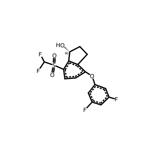 O=S(=O)(c1ccc(Oc2cc(F)cc(F)c2)c2c1[C@H](O)CC2)C(F)F